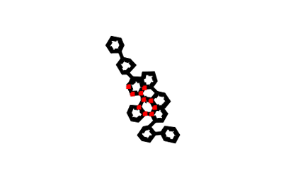 c1ccc(-c2ccc(-c3ccc(N(c4ccccc4-c4ccccc4-c4ccccc4-c4ccccc4)c4ccccc4-c4cccc5cccc(C6CCCCC6)c45)cc3)cc2)cc1